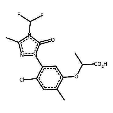 Cc1cc(Cl)c(-n2nc(C)n(C(F)F)c2=O)cc1OC(C)C(=O)O